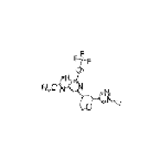 Cc1cnc2c(C34CC(C(F)(F)F)(C3)C4)nc([C@@H]3CCO[C@H](c4cnn(C5CC5)c4)C3)cc2n1